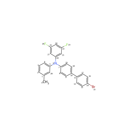 Cc1cccc(N(c2ccc(-c3ccc(Br)cc3)cc2)c2cc(F)cc(F)c2)c1